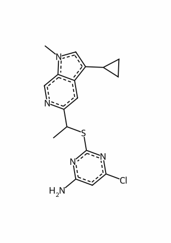 CC(Sc1nc(N)cc(Cl)n1)c1cc2c(C3CC3)cn(C)c2cn1